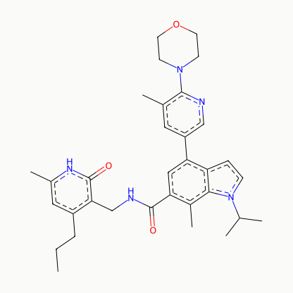 CCCc1cc(C)[nH]c(=O)c1CNC(=O)c1cc(-c2cnc(N3CCOCC3)c(C)c2)c2ccn(C(C)C)c2c1C